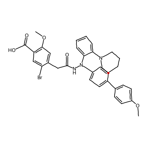 COc1ccc(-c2ccc(N(NC(=O)Cc3cc(OC)c(C(=O)O)cc3Br)c3ccccc3N3CCCCC3)cc2)cc1